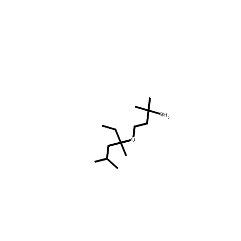 BC(C)(C)CCOC(C)(CC)CC(C)C